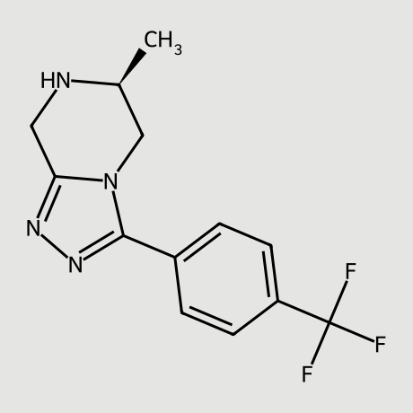 C[C@H]1Cn2c(nnc2-c2ccc(C(F)(F)F)cc2)CN1